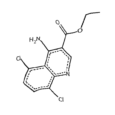 CCOC(=O)c1cnc2c(Cl)ccc(Cl)c2c1N